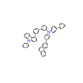 C1=CC(c2ccc3c(ccc4ccccc43)c2)CC=C1N(c1ccc(-c2ccccc2)cc1)c1cccc(-c2cccc(-c3cccc4c3c3ccccc3n4-c3ccccc3)c2)c1